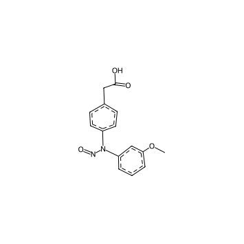 COc1cccc(N(N=O)c2ccc(CC(=O)O)cc2)c1